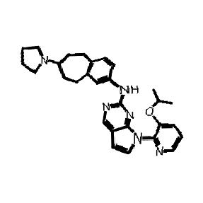 CC(C)Oc1cccnc1-n1ccc2cnc(Nc3ccc4c(c3)CCC(N3CCCC3)CC4)nc21